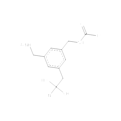 CC(=O)NCc1cc(CNC(=O)C(C)C)cc(CC(C)(C)N)c1